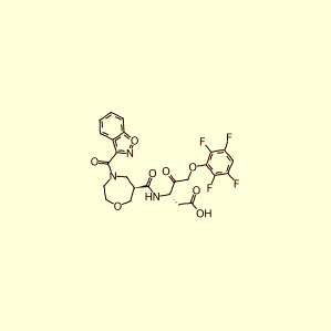 O=C(O)C[C@H](NC(=O)[C@H]1COCCN(C(=O)c2noc3ccccc23)C1)C(=O)COc1c(F)c(F)cc(F)c1F